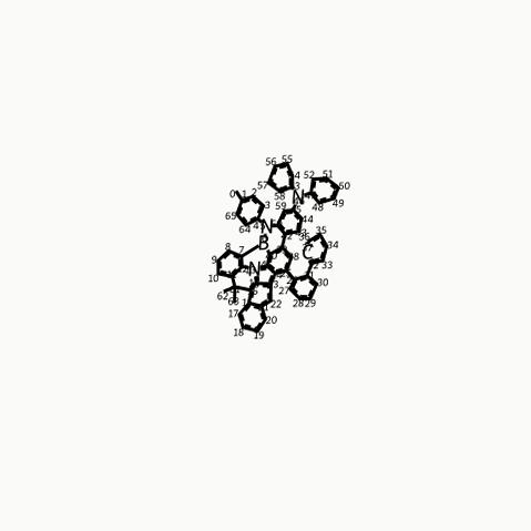 Cc1ccc(N2B3c4cccc5c4-n4c6c(c7ccccc7cc6c6c(-c7ccccc7-c7ccccc7)cc(c3c64)-c3ccc(N(c4ccccc4)c4ccccc4)cc32)C5(C)C)cc1